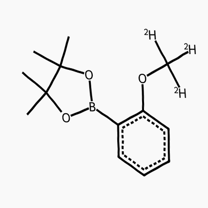 [2H]C([2H])([2H])Oc1ccccc1B1OC(C)(C)C(C)(C)O1